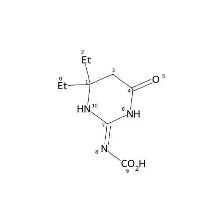 CCC1(CC)CC(=O)N/C(=N\C(=O)O)N1